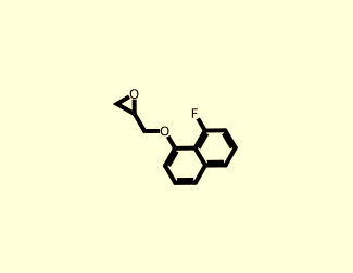 Fc1cccc2cccc(OCC3CO3)c12